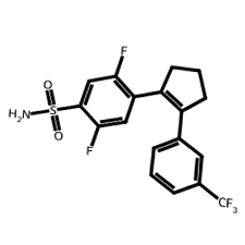 NS(=O)(=O)c1cc(F)c(C2=C(c3cccc(C(F)(F)F)c3)CCC2)cc1F